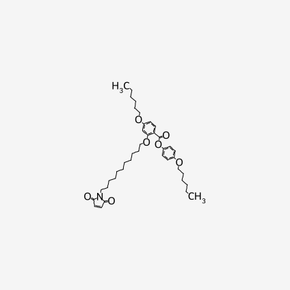 CCCCCCOc1ccc(OC(=O)c2ccc(OCCCCCC)cc2OCCCCCCCCCCCN2C(=O)C=CC2=O)cc1